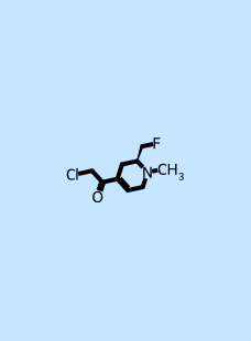 CN1CC=C(C(=O)CCl)C[C@H]1CF